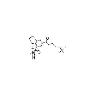 CNS(=O)(=O)c1cc(C(=O)CCC[CH]C(C)(C)C)cc2c1CCC2